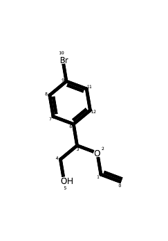 C=COC(CO)c1ccc(Br)cc1